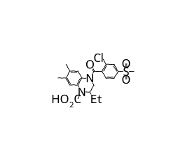 CCC1CN(C(=O)c2ccc(S(C)(=O)=O)cc2Cl)c2cc(C)c(C)cc2N1C(=O)O